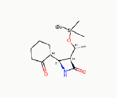 C[C@@H](O[Si](C)(C)C(C)(C)C)[C@H]1C(=O)N[C@H]1[C@H]1CCCCC1=O